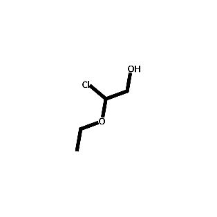 CCOC(Cl)CO